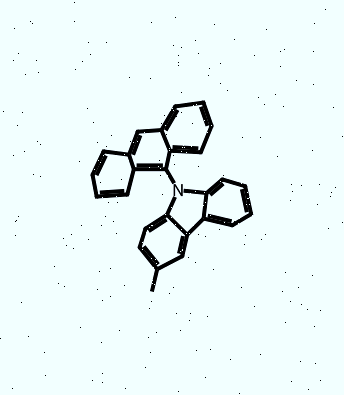 Cc1ccc2c(c1)c1ccccc1n2-c1c2ccccc2cc2ccccc12